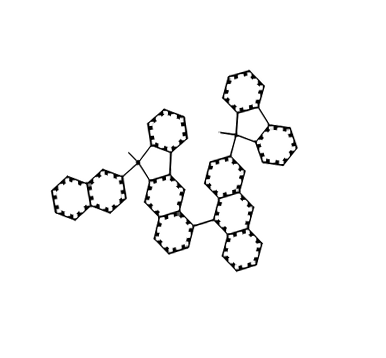 OC1(c2ccc3c(-c4cccc5cc6c(cc45)-c4ccccc4C6(O)c4ccc5ccccc5c4)c4ccccc4cc3c2)c2ccccc2-c2ccccc21